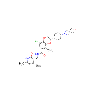 CSc1cc(C)[nH]c(=O)c1CNC(=O)c1cc(Cl)c2c(c1C)O[C@@H](C1CCC(N3CC4(COC4)C3)CC1)CO2